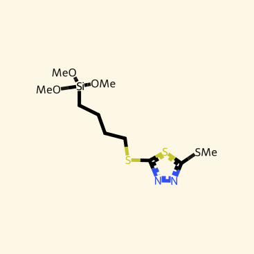 CO[Si](CCCCSc1nnc(SC)s1)(OC)OC